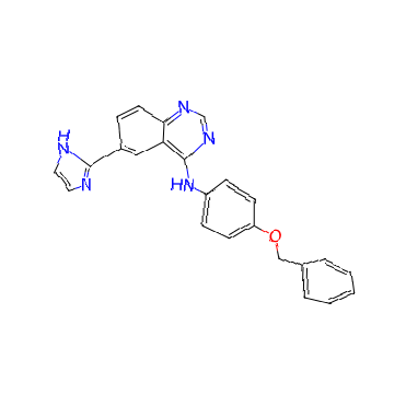 c1ccc(COc2ccc(Nc3ncnc4ccc(-c5ncc[nH]5)cc34)cc2)cc1